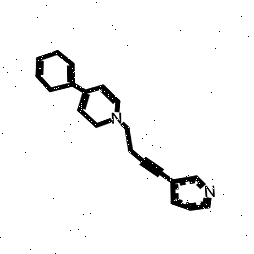 C(#Cc1cccnc1)CCN1C=CC(C2=CCC=CC2)=CC1